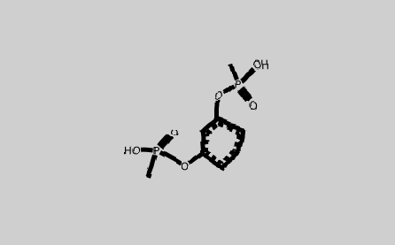 CP(=O)(O)Oc1cccc(OP(C)(=O)O)c1